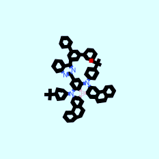 CC(C)(C)c1ccc(N2c3cc4c(ccc5ccccc54)cc3B3c4cc5ccc6ccccc6c5cc4N(c4ccc(C(C)(C)C)cc4)c4cc(-c5nc(-c6cc(-c7ccccc7)cc(-c7ccccc7)c6)c6ccccc6n5)cc2c43)cc1